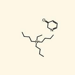 CCCC[N+](CC)(CCCC)CCCC.O=C1C=CC=NC1